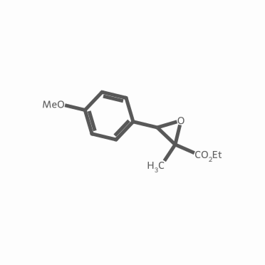 CCOC(=O)C1(C)OC1c1ccc(OC)cc1